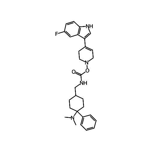 CN(C)C1(c2ccccc2)CCC(CNC(=O)ON2CC=C(c3c[nH]c4ccc(F)cc34)CC2)CC1